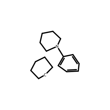 C1CCCCC1.c1ccc(N2CCCCC2)cc1